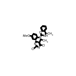 COc1ccc(N(C(=O)N[C@@H](C)c2ccccc2)C(C)c2cnc(Cl)nc2Cl)cc1